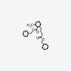 Cc1cccc(CCCC(=O)OCc2ccccc2)c1C(=O)OCc1ccccc1